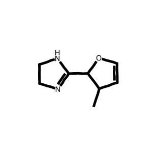 CC1C=COC1C1=NCCN1